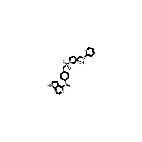 CN(c1ncnc2[nH]ccc12)[C@H]1CC[C@H](CS(=O)(=O)N2CCC(O)(CSc3ccccn3)C2)CC1